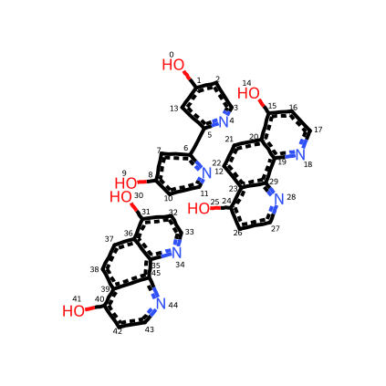 Oc1ccnc(-c2cc(O)ccn2)c1.Oc1ccnc2c1ccc1c(O)ccnc12.Oc1ccnc2c1ccc1c(O)ccnc12